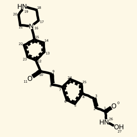 O=C(C=Cc1ccc(C=CC(=O)c2ccc(N3CCNCC3)cc2)cc1)NO